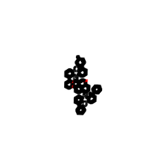 CC1C=Cc2c(oc3c2C=CC[C@H]3N(c2ccc3ccc4c5c3c2=CCC5(C)C=CC=4N(C2=CC=CCC2(C)c2ccccc2)c2cccc3c2oc2ccccc23)C2CC=CC=C2C2=CCCC=C2)C1